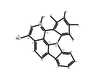 Cc1c(C)c(C)c2c(c1C)c1c3c(ccc4c5ccccc5n2c43)c(C#N)c[n+]1C